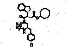 CN[C@H](Cc1ccc(Cl)cc1)CN(C)C(=O)[C@@H](CC(=O)OC1CCCCCCC1)[C@H]1CCc2ccccc21